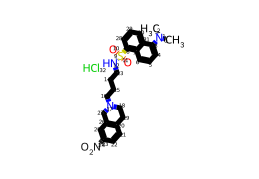 CN(C)c1cccc2c(S(=O)(=O)NCCCCN3CCc4ccc([N+](=O)[O-])cc4C3)cccc12.Cl